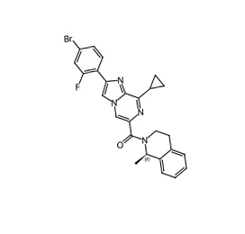 C[C@@H]1c2ccccc2CCN1C(=O)c1cn2cc(-c3ccc(Br)cc3F)nc2c(C2CC2)n1